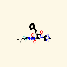 CC(F)(F)CNC(=O)C(=O)[C@@H]1CN(c2cncnc2)C(=O)[C@H]1CCc1ccccc1